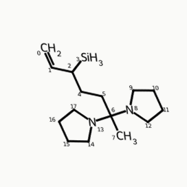 C=CC([SiH3])CCC(C)(N1CCCC1)N1CCCC1